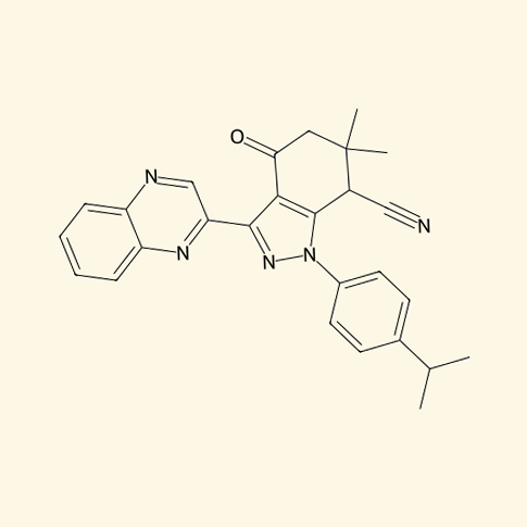 CC(C)c1ccc(-n2nc(-c3cnc4ccccc4n3)c3c2C(C#N)C(C)(C)CC3=O)cc1